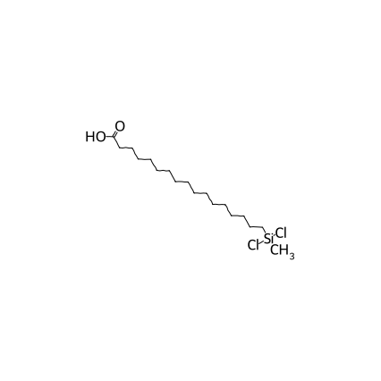 C[Si](Cl)(Cl)CCCCCCCCCCCCCCCCC(=O)O